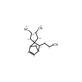 N#CCCC1C2C=CC(C2)C1(CCC#N)CCC#N